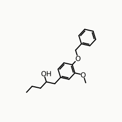 CCCC(O)Cc1ccc(OCc2ccccc2)c(OC)c1